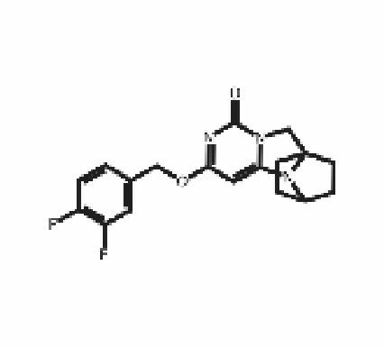 O=c1nc(OCc2ccc(F)c(F)c2)cc2n1CC13CCC(CC1)N23